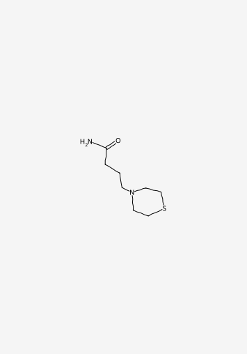 NC(=O)CCCN1CCSCC1